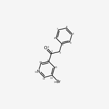 O=C(Cc1ccccc1)c1cncc(Br)c1